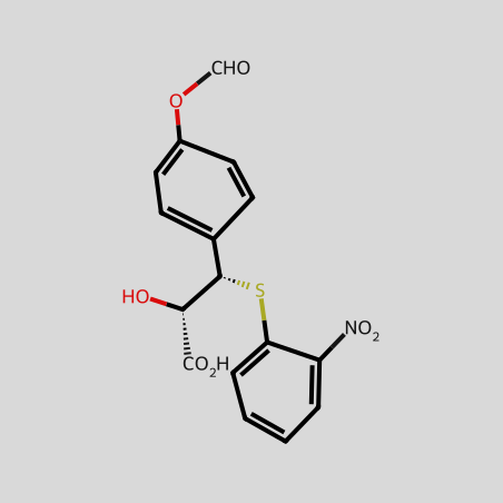 O=COc1ccc([C@H](Sc2ccccc2[N+](=O)[O-])[C@@H](O)C(=O)O)cc1